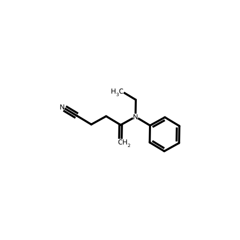 C=C(CCC#N)N(CC)c1ccccc1